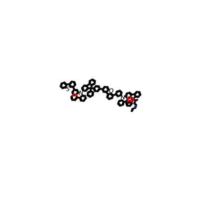 C=C/C=C\C=C(/C)C1(c2ccccc2)c2ccccc2-c2ccc(N(c3cccc(-c4cccc5c4oc4ccc(-c6ccc(C7(c8ccccc8)c8ccccc8-c8ccc(N(c9cccc(-c%10cccc%11c%10sc%10ccccc%10%11)c9)c9ccccc9-c9ccccc9)cc87)cc6)cc45)c3)c3ccccc3-c3ccccc3)cc21